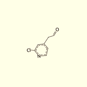 O=CCc1ccnc(Cl)c1